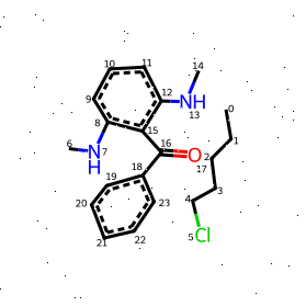 CCCCCCl.CNc1cccc(NC)c1C(=O)c1ccccc1